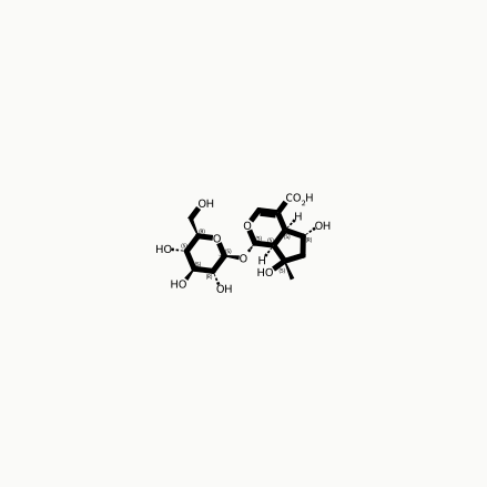 C[C@]1(O)C[C@@H](O)[C@@H]2C(C(=O)O)=CO[C@@H](O[C@@H]3O[C@H](CO)[C@@H](O)[C@H](O)[C@H]3O)[C@@H]21